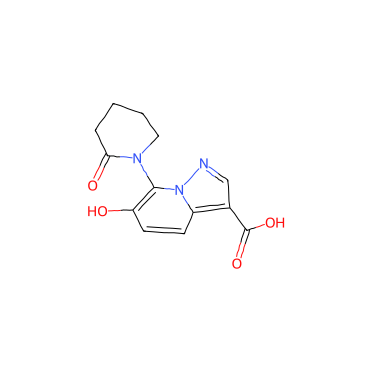 O=C(O)c1cnn2c(N3CCCCC3=O)c(O)ccc12